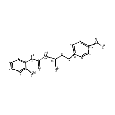 O=C(Nc1ccccc1S)NC(S)CCc1ccc(OS)cc1